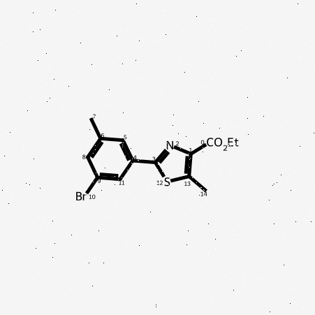 CCOC(=O)c1nc(-c2cc(C)cc(Br)c2)sc1C